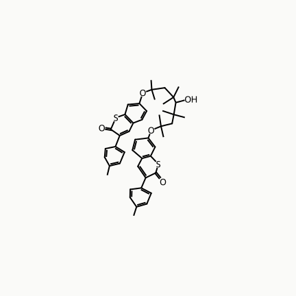 Cc1ccc(-c2cc3ccc(OC(C)(C)CC(C)(C)C(O)C(C)(C)CC(C)(C)Oc4ccc5cc(-c6ccc(C)cc6)c(=O)sc5c4)cc3sc2=O)cc1